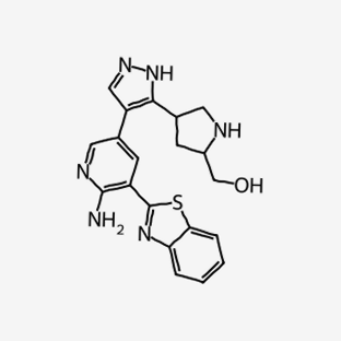 Nc1ncc(-c2cn[nH]c2C2CNC(CO)C2)cc1-c1nc2ccccc2s1